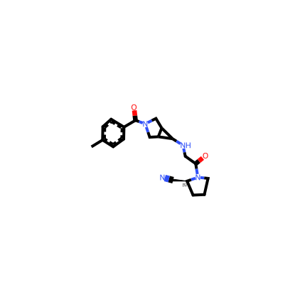 Cc1ccc(C(=O)N2CC3C(C2)C3NCC(=O)N2CCC[C@H]2C#N)cc1